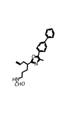 C=CCC(CCCNC=O)c1nc(C)c(-c2ccc(-c3ccccc3)cc2)o1